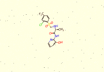 C[C@H](NCS(=O)(=O)c1ccc(C(F)(F)F)cc1Cl)C(=O)Nc1ncccc1O